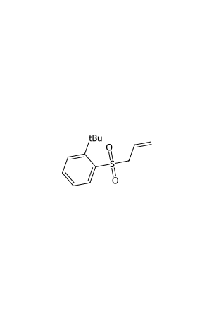 C=CCS(=O)(=O)c1ccccc1C(C)(C)C